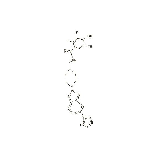 O=C(NCC1CCC(n2cc3ccc(-n4cncn4)cc3n2)CC1)c1cc(F)c(O)c(F)c1F